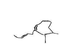 CC=CCc1cccc(C)c1C